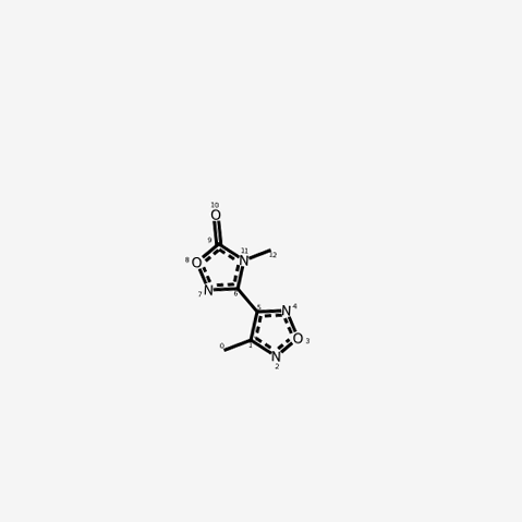 Cc1nonc1-c1noc(=O)n1C